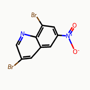 O=[N+]([O-])c1cc(Br)c2ncc(Br)cc2c1